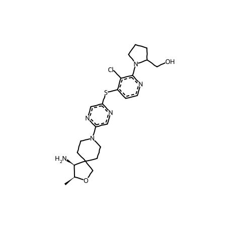 C[C@@H]1OCC2(CCN(c3cnc(Sc4ccnc(N5CCCC5CO)c4Cl)cn3)CC2)[C@@H]1N